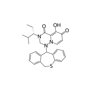 CC[C@@H](C(C)C)N1CN(C2c3ccccc3CSc3ccccc32)n2ccc(=O)c(O)c2C1=O